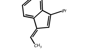 CC=C1C=C(C(C)C)c2ccccc21